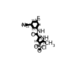 Cc1[nH]c(C(=O)Nc2cc(F)cc(C#N)c2)cc1S(=O)(=O)Cl